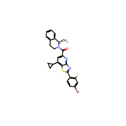 C[C@@H]1c2ccccc2CCN1C(=O)c1cc(C2CC2)c2sc(-c3ccc(Br)cc3F)nc2n1